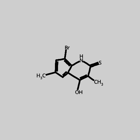 Cc1cc(Br)c2[nH]c(=S)c(C)c(O)c2c1